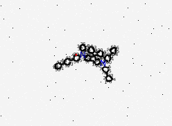 c1ccc(C2CCC(N(c3ccc4c(c3)C3(c5ccccc5-c5ccccc53)c3cc(N(c5ccccc5)C5CCC(C6CCC(C7CCCCC7)CC6)CC5)ccc3-4)C3CCC(c4ccccc4)CC3)CC2)cc1